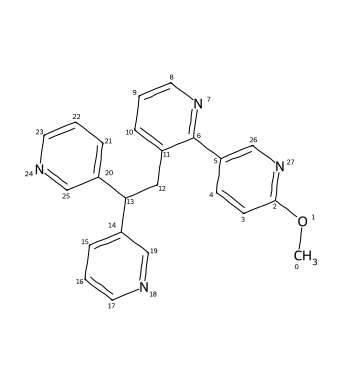 COc1ccc(-c2ncccc2CC(c2cccnc2)c2cccnc2)cn1